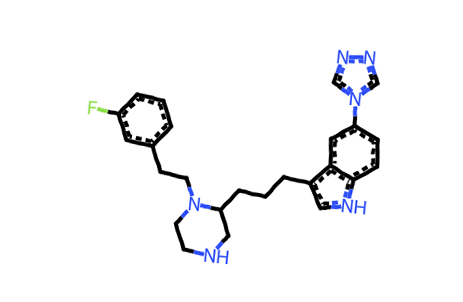 Fc1cccc(CCN2CCNCC2CCCc2c[nH]c3ccc(-n4cnnc4)cc23)c1